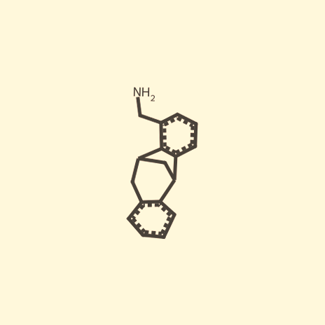 NCc1cccc2c1C1Cc3ccccc3C2C1